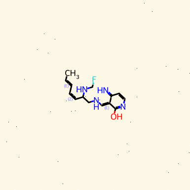 C/C=C/C=C\C(CN/C=C1\C(=N)C=CN=C1O)NCF